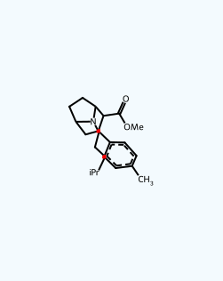 COC(=O)C1C(c2ccc(C)cc2)CC2CCC1N2CCCC(C)C